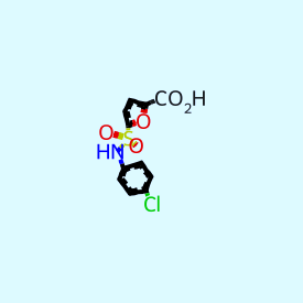 O=C(O)c1ccc(S(=O)(=O)Nc2ccc(Cl)cc2)o1